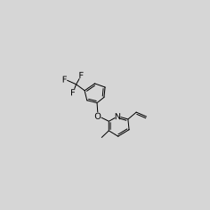 C=Cc1ccc(C)c(Oc2cccc(C(F)(F)F)c2)n1